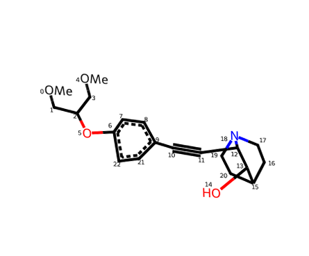 COCC(COC)Oc1ccc(C#CC2C(O)C3CCN2CC3)cc1